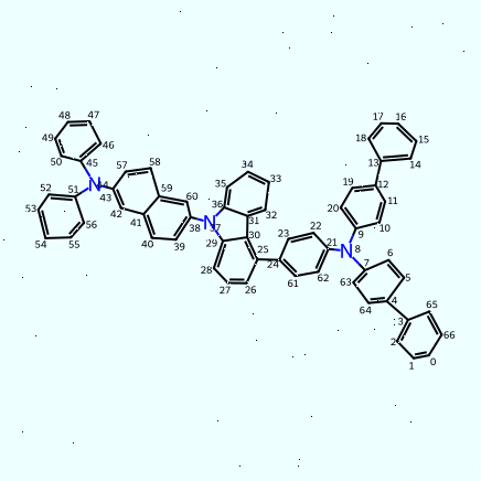 c1ccc(-c2ccc(N(c3ccc(-c4ccccc4)cc3)c3ccc(-c4cccc5c4c4ccccc4n5-c4ccc5cc(N(c6ccccc6)c6ccccc6)ccc5c4)cc3)cc2)cc1